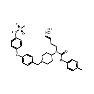 C=CCCN(C(=O)Nc1ccc(C)nc1)C1CCN(Cc2ccc(Oc3ccc(NS(C)(=O)=O)cc3)cc2)CC1.Cl.Cl